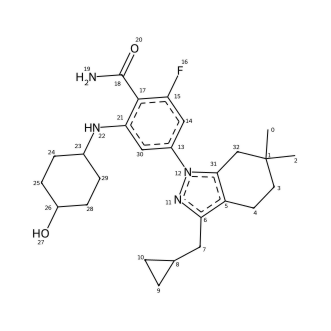 CC1(C)CCc2c(CC3CC3)nn(-c3cc(F)c(C(N)=O)c(NC4CCC(O)CC4)c3)c2C1